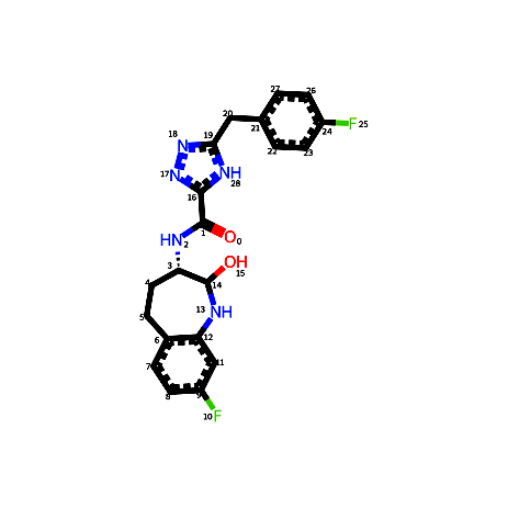 O=C(N[C@H]1CCc2ccc(F)cc2NC1O)c1nnc(Cc2ccc(F)cc2)[nH]1